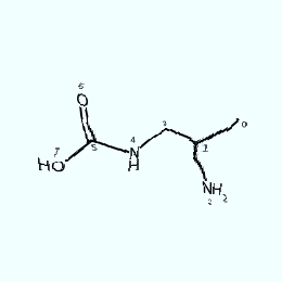 CC(N)CNC(=O)O